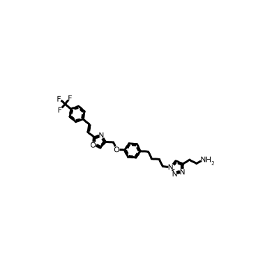 NCCc1cn(CCCCc2ccc(OCc3coc(C=Cc4ccc(C(F)(F)F)cc4)n3)cc2)nn1